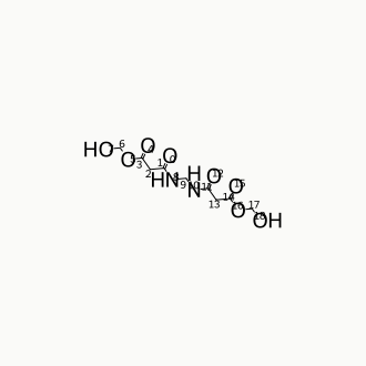 O=C(CC(=O)OCO)NCNC(=O)CC(=O)OCO